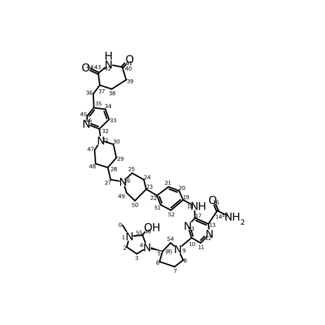 CN1CCN([C@@H]2CCCN(c3cnc(C(N)=O)c(Nc4ccc(C5CCN(CC6CCN(c7ccc(CC8CCC(=O)NC8=O)cn7)CC6)CC5)cc4)n3)C2)C1O